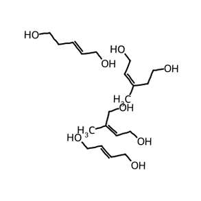 CC(=CCO)CCO.CC(=CCO)CO.OCC=CCCO.OCC=CCO